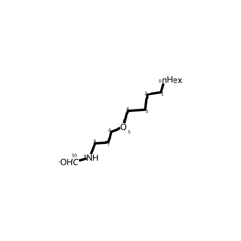 CCCCCCCCCCOCCCN[C]=O